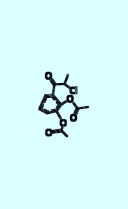 CC(=O)Oc1cccc(C(=O)C(C)Cl)c1OC(C)=O